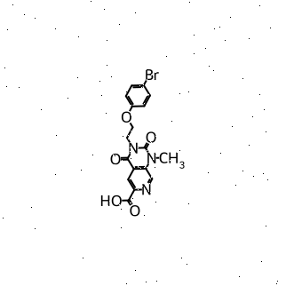 Cn1c(=O)n(CCOc2ccc(Br)cc2)c(=O)c2cc(C(=O)O)ncc21